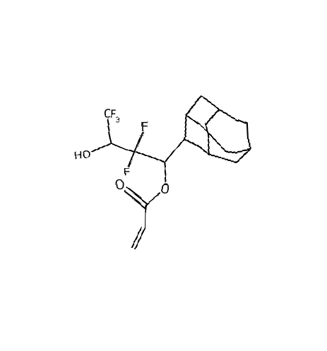 C=CC(=O)OC(C1C2CC3CC(C2)CC1C3)C(F)(F)C(O)C(F)(F)F